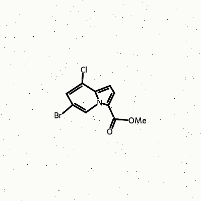 COC(=O)c1ccc2c(Cl)cc(Br)cn12